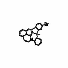 CC1(C)c2cc(Br)ccc2-c2cc3cccc4c3c(c21)N(c1ccccc1)C=C4